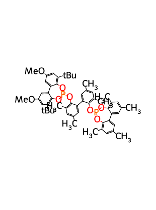 COc1cc(C(C)(C)C)c2op(Oc3c(C)cc(C)cc3-c3cc(C)cc(C)c3Op3oc4c(C)cc(C)cc4c4cc(C)cc(C)c4o3)oc3c(C(C)(C)C)cc(OC)cc3c2c1